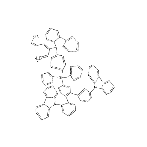 C=C/C(=C\C=C/C)C1(c2ccc([Si](c3ccccc3)(c3ccccc3)c3ccc(-c4ccccc4-n4c5ccccc5c5ccccc54)c(-c4cccc(-n5c6ccccc6c6ccccc65)c4)c3)cc2)c2ccccc2-c2ccccc21